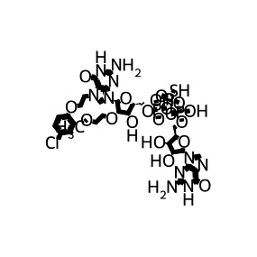 COCCO[C@@H]1[C@H](O)[C@@H](COP(=O)(O)OP(=O)(S)OP(=O)(O)OC[C@H]2O[C@@H](n3cnc4c(=O)[nH]c(N)nc43)[C@H](O)[C@@H]2O)O[C@H]1n1c[n+](CCOc2ccc(Cl)cc2)c2c(=O)[nH]c(N)nc21